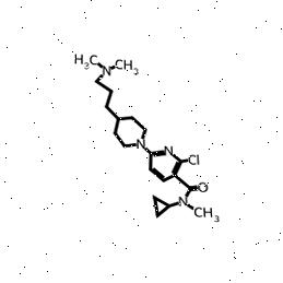 CN(C)CCCC1CCN(c2ccc(C(=O)N(C)C3CC3)c(Cl)n2)CC1